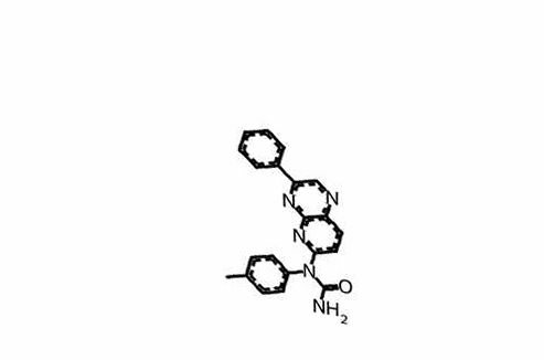 Cc1ccc(N(C(N)=O)c2ccc3ncc(-c4ccccc4)nc3n2)cc1